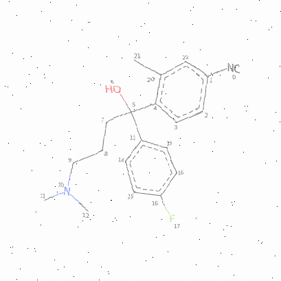 [C-]#[N+]c1ccc(C(O)(CCCN(C)C)c2ccc(F)cc2)c(C)c1